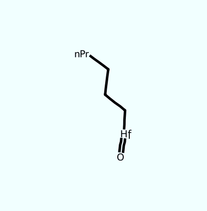 CCCCC[CH2][Hf]=[O]